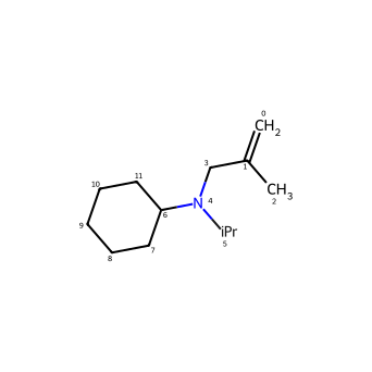 C=C(C)CN(C(C)C)C1CCCCC1